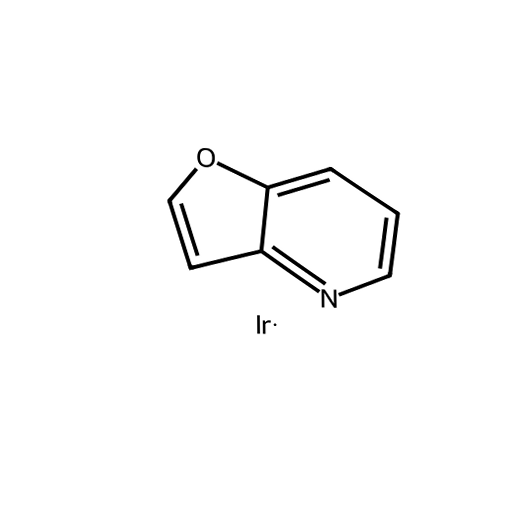 [Ir].c1cnc2ccoc2c1